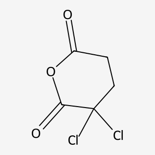 O=C1CCC(Cl)(Cl)C(=O)O1